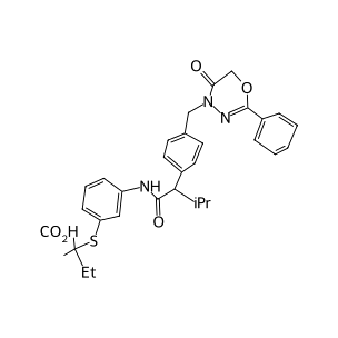 CCC(C)(Sc1cccc(NC(=O)C(c2ccc(CN3N=C(c4ccccc4)OCC3=O)cc2)C(C)C)c1)C(=O)O